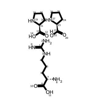 N=C(N)NCCC[C@H](N)C(=O)O.O=C(O)[C@@H]1CCCN1.O=C(O)[C@@H]1CCCN1